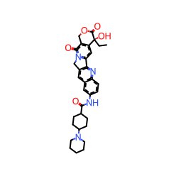 CC[C@@]1(O)C(=O)OCc2c1cc1n(c2=O)Cc2cc3cc(NC(=O)C4CCC(N5CCCCC5)CC4)ccc3nc2-1